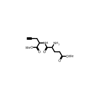 C#CCC(NC(=O)C(N)CCC(=O)OC)C(=O)OC